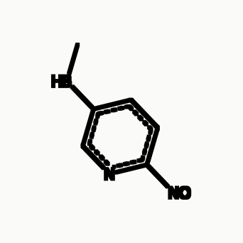 CBc1ccc(N=O)nc1